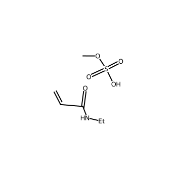 C=CC(=O)NCC.COS(=O)(=O)O